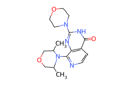 CC1COCC(C)N1c1nccc2c(=O)[nH]c(N3CCOCC3)nc12